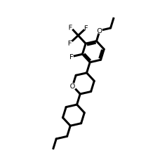 CCCC1CCC(C2CCC(c3ccc(OCC)c(C(F)(F)F)c3F)CO2)CC1